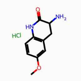 COc1ccc2c(c1)CC(N)C(=O)N2.Cl